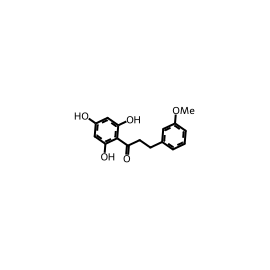 COc1cccc(CCC(=O)c2c(O)cc(O)cc2O)c1